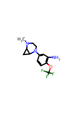 CN1CCN(c2ccc(OC(F)(F)F)c(N)c2)C2CC21